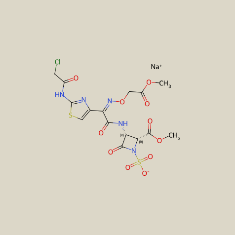 COC(=O)CON=C(C(=O)N[C@H]1C(=O)N(S(=O)(=O)[O-])[C@H]1C(=O)OC)c1csc(NC(=O)CCl)n1.[Na+]